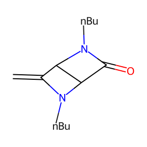 C=C1C2C(C(=O)N2CCCC)N1CCCC